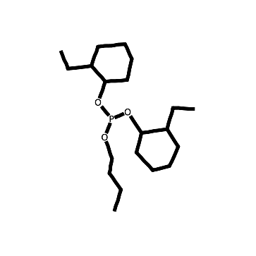 CCCCOP(OC1CCCCC1CC)OC1CCCCC1CC